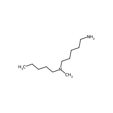 CCCCCN(C)CCCCCN